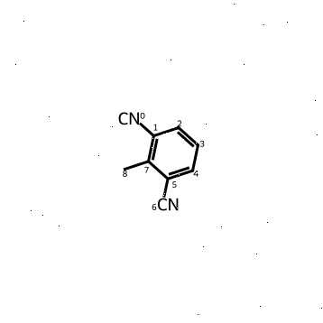 [C-]#[N+]c1cccc(C#N)c1C